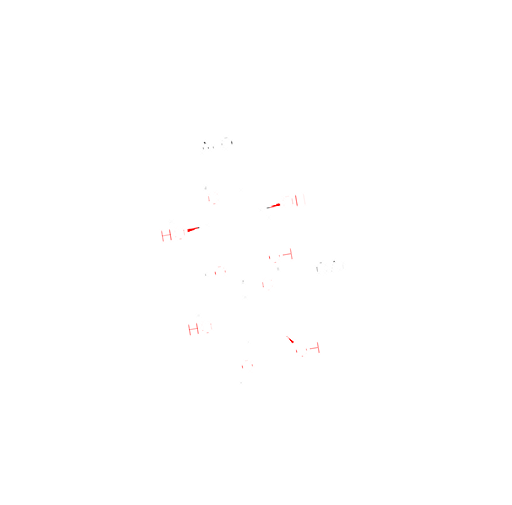 CC(=O)OCC1O[C@@H](O[C@H]2C(O)[C@H](O)C(COC(C)=O)O[C@@H]2O)C(O)C(O)[C@@H]1O